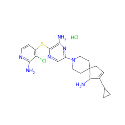 Cl.Nc1nc(N2CCC3(CC=C(C4CC4)C3N)CC2)cnc1Sc1ccnc(N)c1Cl